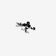 CN(CCN)[C@H]1COc2c(OCCN3CCCC3)cccc2-c2c(C3CCCCC3)c3ccc(C(=O)NS(=O)(=O)N(C)CC=O)cc3n2C1